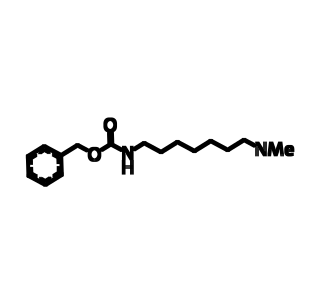 CNCCCCCCCNC(=O)OCc1ccccc1